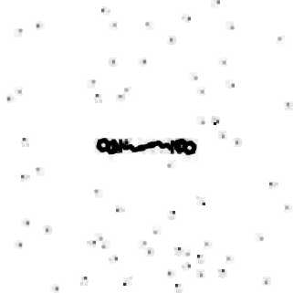 C(C#CCCCC[n+]1ccc2c(c1)CCCC2)#CCCCC[n+]1ccc2c(c1)CCCC2